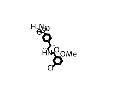 COc1ccc(Cl)cc1C(=O)N[C@H](C)[C@@H](C)c1ccc(S(N)(=O)=O)cc1